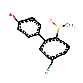 C[S+]([O-])c1ccc(Cl)cc1-c1ccc(Br)cc1